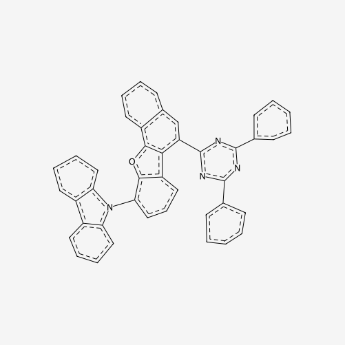 c1ccc(-c2nc(-c3ccccc3)nc(-c3cc4ccccc4c4oc5c(-n6c7ccccc7c7ccccc76)cccc5c34)n2)cc1